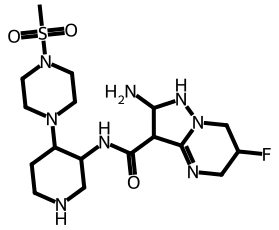 CS(=O)(=O)N1CCN(C2CCNCC2NC(=O)C2C3=NCC(F)CN3NC2N)CC1